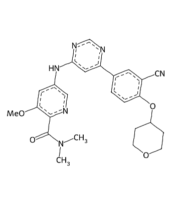 COc1cc(Nc2cc(-c3ccc(OC4CCOCC4)c(C#N)c3)ncn2)cnc1C(=O)N(C)C